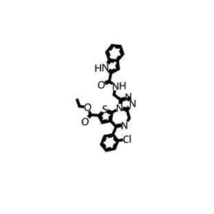 CCOC(=O)c1cc2c(s1)-n1c(nnc1CNC(=O)c1cc3ccccc3[nH]1)CN=C2c1ccccc1Cl